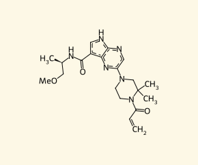 C=CC(=O)N1CCN(c2cnc3[nH]cc(C(=O)N[C@H](C)COC)c3n2)CC1(C)C